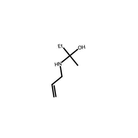 C=CCNC(C)(O)CC